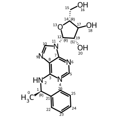 C[C@@H](Nc1ncnc2c1ncn2[C@@H]1O[C@H](CO)C(O)[C@@H]1O)c1ccccc1